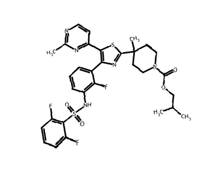 Cc1nccc(-c2sc(C3(C)CCN(C(=O)OCC(C)C)CC3)nc2-c2cccc(NS(=O)(=O)c3c(F)cccc3F)c2F)n1